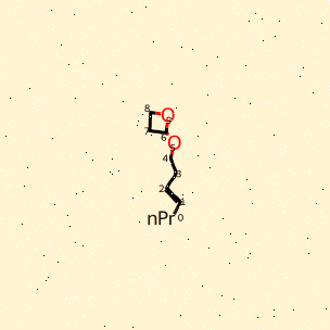 CCCC=CCCOC1CCO1